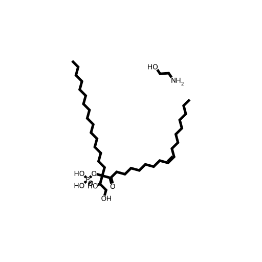 CCCCCCCC/C=C\CCCCCCCC(=O)C(CCCCCCCCCCCCCCCC)(OP(=O)(O)O)C(O)CO.NCCO